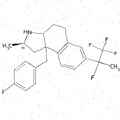 C[C@@H]1CC2(Cc3ccc(F)cc3)c3ccc(C(C)(F)C(F)(F)F)cc3CCC2N1